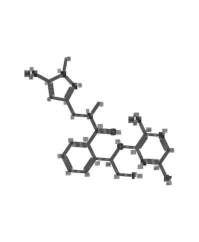 CN(Cc1cc(N)n(C)n1)C(=O)c1ccccc1C(CF)Oc1nc(Br)cnc1N